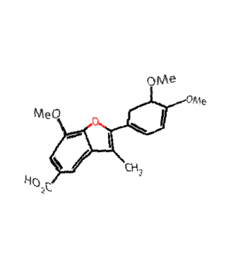 COC1=CC=C(c2oc3c(OC)cc(C(=O)O)cc3c2C)CC1OC